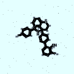 O=C(N[C@]1(c2ccc(-c3cccc(F)c3O)cc2)CCOc2cccnc21)c1ccc(F)cc1